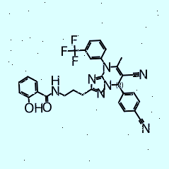 CC1=C(C#N)[C@@H](c2ccc(C#N)cc2)n2nc(CCCNC(=O)c3ccccc3O)nc2N1c1cccc(C(F)(F)F)c1